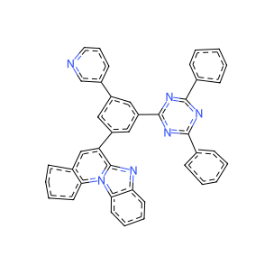 c1ccc(-c2nc(-c3ccccc3)nc(-c3cc(-c4cccnc4)cc(-c4cc5ccccc5n5c4nc4ccccc45)c3)n2)cc1